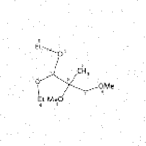 CCOC(OCC)C(C)(COC)OC